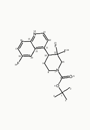 CC(C)(C)OC(=O)N1CCC(c2ccnc3ccc(F)cc23)C(F)(F)C1